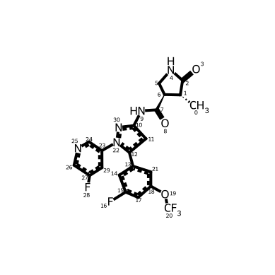 C[C@H]1C(=O)NC[C@@H]1C(=O)Nc1cc(-c2cc(F)cc(OC(F)(F)F)c2)n(-c2cncc(F)c2)n1